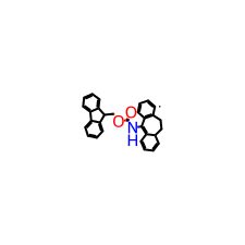 O=C(NC1=C2C=CC=CC2CCc2[c]cccc21)OCC1c2ccccc2-c2ccccc21